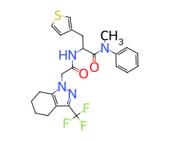 CN(C(=O)C(Cc1ccsc1)NC(=O)Cn1nc(C(F)(F)F)c2c1CCCC2)c1ccccc1